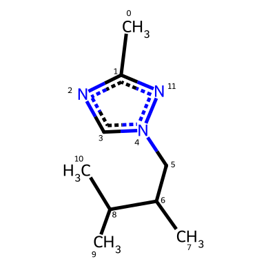 Cc1ncn(CC(C)C(C)C)n1